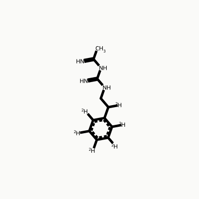 [2H]c1c([2H])c([2H])c(C([2H])CNC(=N)NC(C)=N)c([2H])c1[2H]